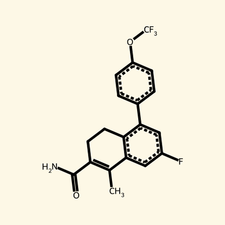 CC1=C(C(N)=O)CCc2c1cc(F)cc2-c1ccc(OC(F)(F)F)cc1